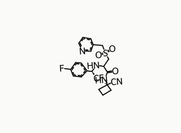 N#CC1(NC(=O)C(CS(=O)(=O)Cc2cccnc2)N[C@H](c2ccc(F)cc2)C(F)(F)F)CCC1